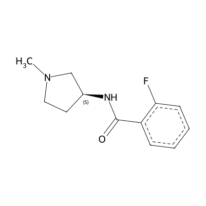 CN1CC[C@H](NC(=O)c2ccccc2F)C1